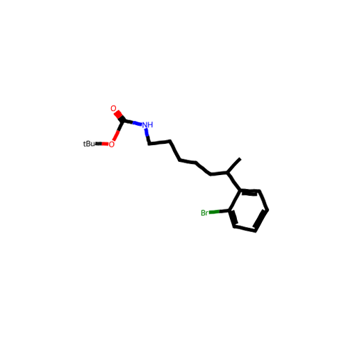 CC(CCCCCNC(=O)OC(C)(C)C)c1ccccc1Br